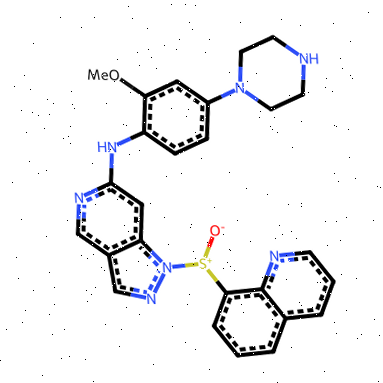 COc1cc(N2CCNCC2)ccc1Nc1cc2c(cn1)cnn2[S+]([O-])c1cccc2cccnc12